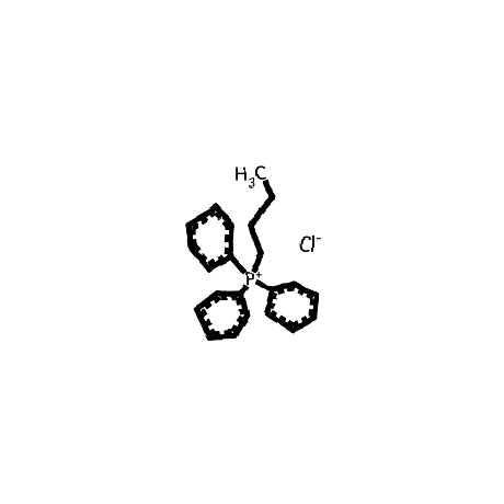 CCCC[P+](c1ccccc1)(c1ccccc1)c1ccccc1.[Cl-]